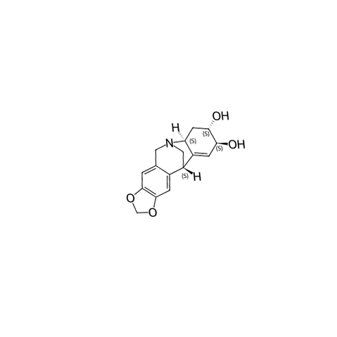 O[C@H]1C=C2[C@H]3CN(Cc4cc5c(cc43)OCO5)[C@H]2C[C@@H]1O